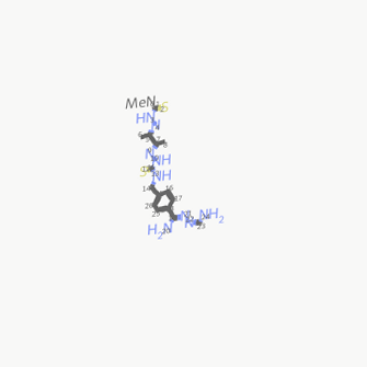 CNC(=S)N/N=C(C)/C(C)=N/NC(=S)NCc1ccc(/C(N)=N/N=C\N)cc1